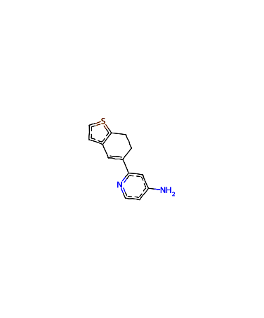 Nc1ccnc(C2=Cc3ccsc3CC2)c1